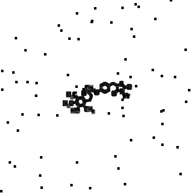 Cc1c(C)c2c(c(C)c1O)CCC(C)(COc1ccc(CC3SC(=O)N(C(C)C)C3=O)cc1)O2